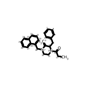 C=C1C(Cc2ccccc2)N(C(=O)CC)CCN1Cc1cccc2ccccc12